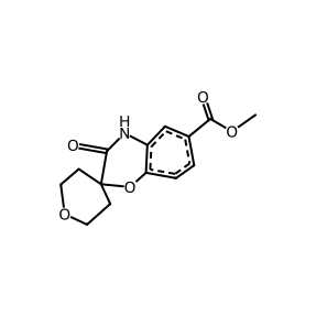 COC(=O)c1ccc2c(c1)NC(=O)C1(CCOCC1)O2